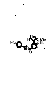 COC1C=NNC1c1cc(C(=O)N2CC(c3ccc(C#N)cc3)C2)ccc1C